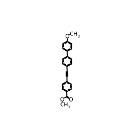 COC(=O)c1ccc(C#Cc2ccc(-c3ccc(OC)cc3)cc2)cc1